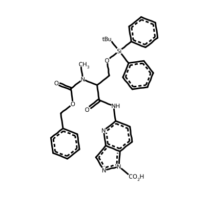 CN(C(=O)OCc1ccccc1)C(CO[Si](c1ccccc1)(c1ccccc1)C(C)(C)C)C(=O)Nc1ccc2c(cnn2C(=O)O)n1